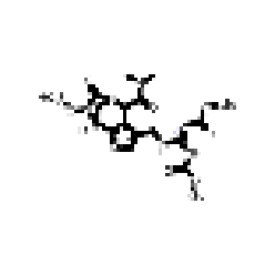 CN(C)C(=O)C1c2c(CN/C(=N/C(=O)OC(C)(C)C)NC(=O)OC(C)(C)C)csc2[C@@H]2CN1C(=O)N2OS(=O)(=O)O